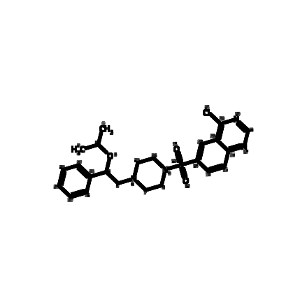 CC(C)OC(CN1CCN(S(=O)(=O)c2ccc3ncnc(Cl)c3c2)CC1)c1ccccc1